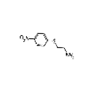 NCCSc1ccc([N+](=O)[O-])cc1